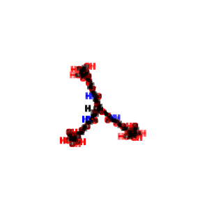 CC(COCCCC(=O)NCCOCCOCCOC1=C(CO)C(O)[C@H](O)C(CO)O1)(COCCC(=O)NCCOCCOCCO[C@H]1OC(CO)[C@@H](O)C(O)C1O)COCCC(=O)NCCOCCOCCO[C@H]1OC(CO)[C@@H](O)C(O)C1O